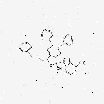 Cc1ncnn2c(C3(O)O[C@H](COCc4ccccc4)[C@@H](OCc4ccccc4)[C@H]3OCc3ccccc3)ccc12